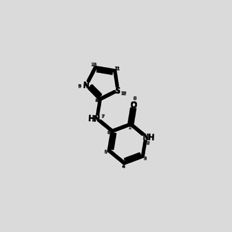 O=c1[nH]cccc1Nc1nccs1